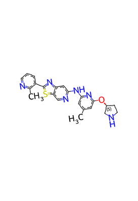 Cc1cc(Nc2cc3nc(-c4cccnc4C)sc3cn2)nc(O[C@H]2CCNC2)c1